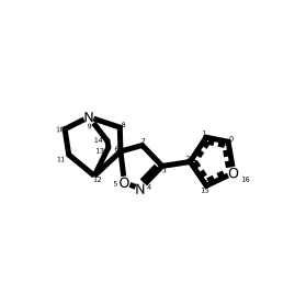 c1cc(C2=NOC3(C2)CN2CCC3CC2)co1